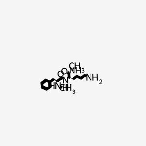 CNC(=O)[C@H](CCCCN)NC(=O)[C@H](Cc1ccccc1)NC